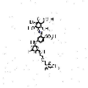 C=CS(=O)(=O)CCOCCNc1nc(F)nc(Nc2ccc(S(=O)(=O)O)c(/N=N/c3c(C)c(CS(=O)(=O)O)c(=O)n(CC)c3O)c2)n1